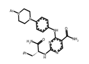 CC(=O)N1CCN(c2ccc(Nc3nc(N[C@H](CC(C)C)C(N)=O)ncc3C(N)=O)cc2)CC1